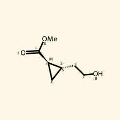 COC(=O)[C@@H]1C[C@H]1CCO